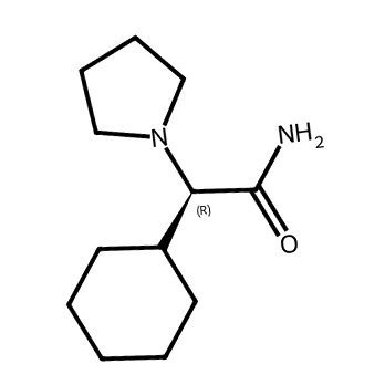 NC(=O)[C@@H](C1CCCCC1)N1CCCC1